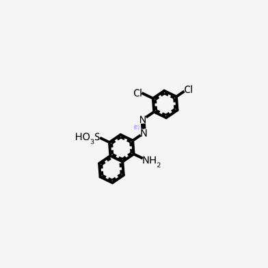 Nc1c(/N=N/c2ccc(Cl)cc2Cl)cc(S(=O)(=O)O)c2ccccc12